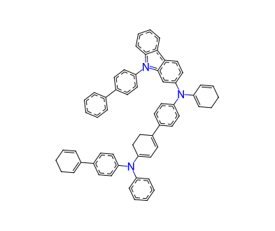 C1=CC(c2ccc(N(C3=CC=C(c4ccc(N(C5=CCCC=C5)c5ccc6c7ccccc7n(-c7ccc(-c8ccccc8)cc7)c6c5)cc4)CC3)c3ccccc3)cc2)=CCC1